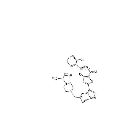 CC(C(=O)O)N1CCN(Cc2ccc3ncc(-c4cc(O[C@H](C)c5ccccc5Cl)c(C(N)=O)s4)n3c2)CC1